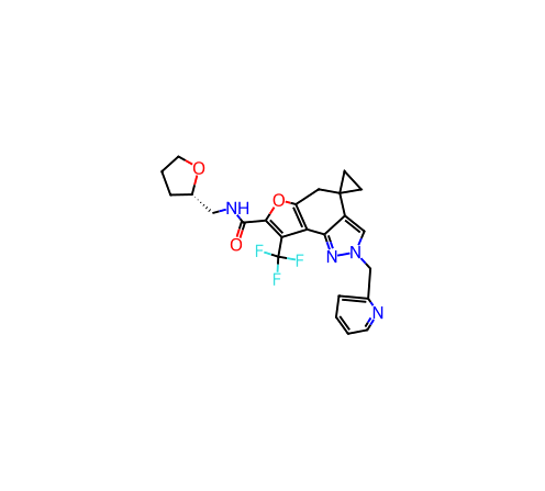 O=C(NC[C@@H]1CCCO1)c1oc2c(c1C(F)(F)F)-c1nn(Cc3ccccn3)cc1C1(CC1)C2